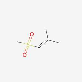 CC(C)=CS(C)(=O)=O